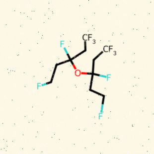 FCCC(F)(CC(F)(F)F)OC(F)(CCF)CC(F)(F)F